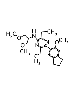 CCc1nc(-c2cc3c(cc2OC)CCC3)c(CC)nc1NC(COC)COC